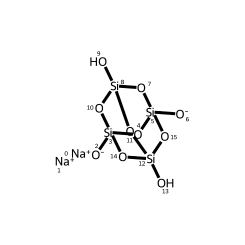 [Na+].[Na+].[O-][Si]12O[Si]3([O-])O[Si](O)(O1)O[Si](O)(O2)O3